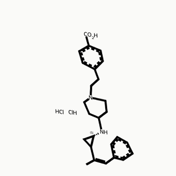 CC(=Cc1ccccc1)C1C[C@@H]1NC1CCN(CCc2ccc(C(=O)O)cc2)CC1.Cl.Cl